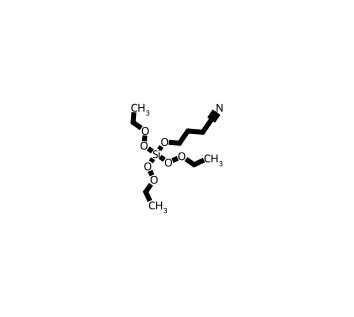 CCOO[Si](OCCCC#N)(OOCC)OOCC